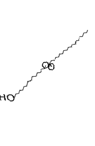 CCCCCCC=CCCCCCCCCCCCC(=O)OCCCCCCCCCCCCCCCO